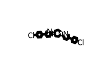 Clc1ccc(-c2ccc(N3CCCN(c4ccc(-c5ccc(Cl)cc5)cn4)CC3)nc2)cc1